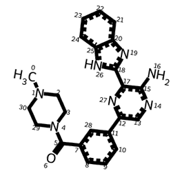 CN1CCN(C(=O)c2cccc(-c3cnc(N)c(-c4nc5ccccc5[nH]4)n3)c2)CC1